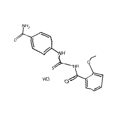 COc1ccccc1C(=O)NC(=S)Nc1ccc(C(N)=O)cc1.Cl